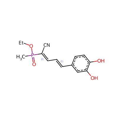 CCOP(C)(=O)/C(C#N)=C/C=C/c1ccc(O)c(O)c1